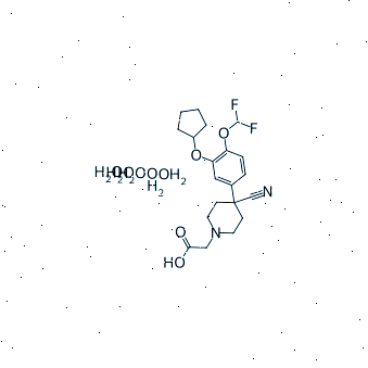 N#CC1(c2ccc(OC(F)F)c(OC3CCCC3)c2)CCN(CC(=O)O)CC1.O.O.O.O.O